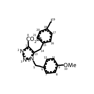 CCOC(=O)c1nnn(Cc2ccc(OC)cc2)c1Cc1ccc(I)cc1